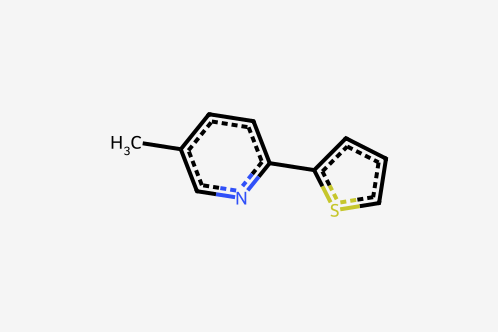 Cc1ccc(-c2cccs2)nc1